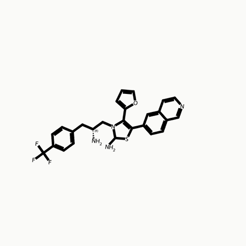 NC1SC(c2ccc3cnccc3c2)=C(c2ccco2)N1C[C@H](N)Cc1ccc(C(F)(F)F)cc1